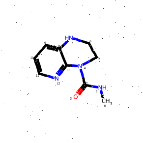 CNC(=O)N1CCNc2cccnc21